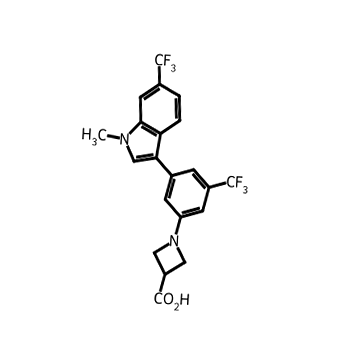 Cn1cc(-c2cc(N3CC(C(=O)O)C3)cc(C(F)(F)F)c2)c2ccc(C(F)(F)F)cc21